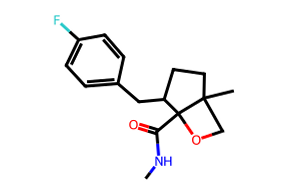 CNC(=O)C12OCC1(C)CCC2Cc1ccc(F)cc1